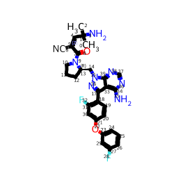 CC(C)(N)/C=C(/C#N)C(=O)N1CCC[C@@H]1Cn1nc(-c2ccc(Oc3cccc(F)c3)cc2F)c2c(N)ncnc21